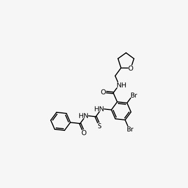 O=C(NC(=S)Nc1cc(Br)cc(Br)c1C(=O)NCC1CCCO1)c1ccccc1